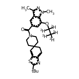 [2H]C([2H])([2H])C([2H])([2H])Oc1cc(C(=O)N2CCC3(C=c4sc(C(C)(C)C)nc4=CC3)CC2)cc2c(C)nn(C)c12